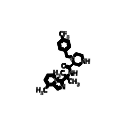 Cc1cccn2c(C(C)(C)NC(=O)[C@@H]3CNCCN3Cc3ccc(C(F)(F)F)cc3)ncc12